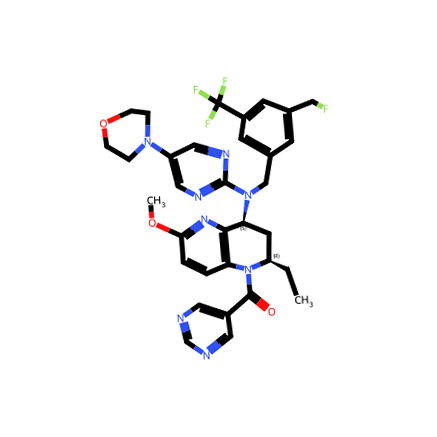 CC[C@@H]1C[C@H](N(Cc2cc(CF)cc(C(F)(F)F)c2)c2ncc(N3CCOCC3)cn2)c2nc(OC)ccc2N1C(=O)c1cncnc1